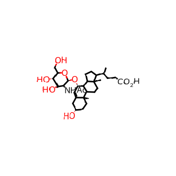 CC(=O)NC1C(O)[C@H](O)C(CO)O[C@H]1O[C@H]1C=C2C[C@@H](O)CCC2(C)C2CCC3(C)C(C(C)CCC(=O)O)CCC3C21